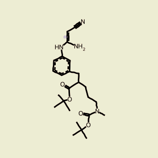 CN(CCCC(Cc1cccc(N/C(N)=C/C#N)c1)C(=O)OC(C)(C)C)C(=O)OC(C)(C)C